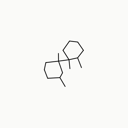 CC1CCCC(C)(C2(C)CCCCC2C)C1